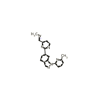 C/N=C/c1ccnc(-c2ccc3cnn(-c4cccc(C)n4)c3c2)n1